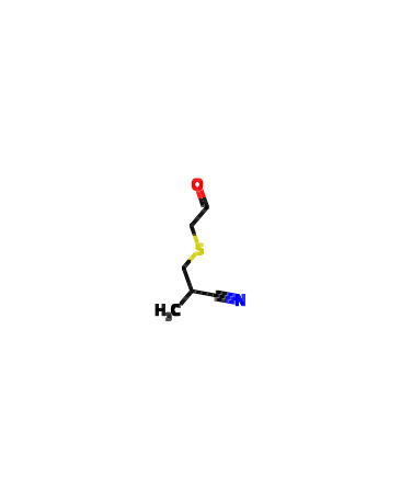 CC(C#N)CSCC=O